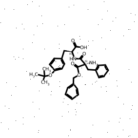 CC(C)(C)Oc1ccc(C[C@H](NC(=O)[C@@](N)(Cc2ccccc2)C(=O)OCc2ccccc2)C(=O)O)cc1